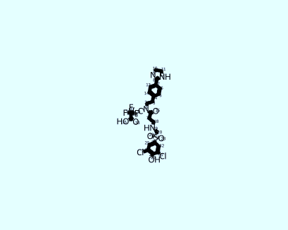 CN(CCc1ccc(C2=NCCN2)cc1)C(=O)CCNCS(=O)(=O)c1cc(Cl)c(O)c(Cl)c1.O=C(O)C(F)(F)F